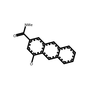 CNC(=O)c1cc([O])c2cc3ccccc3cc2c1